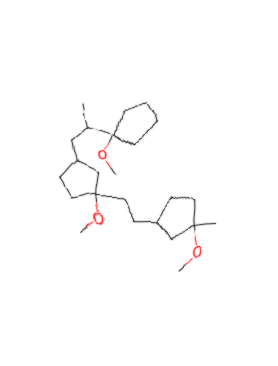 COC1(C)CCC(CCC2(OC)CCC(CC(C)C3(OC)CCCC3)C2)C1